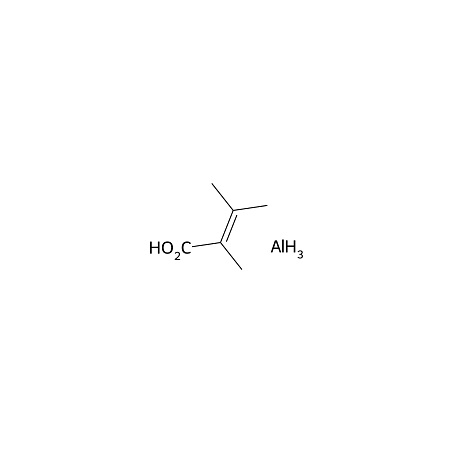 CC(C)=C(C)C(=O)O.[AlH3]